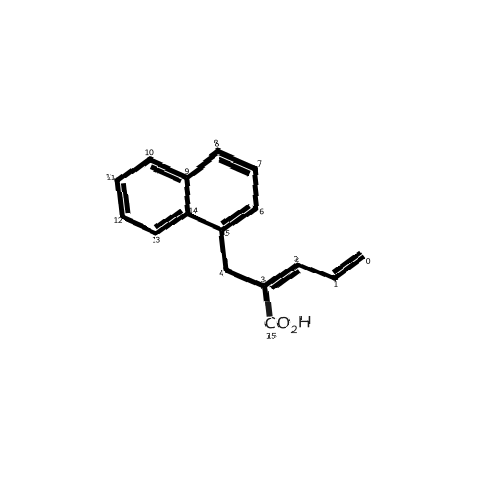 C=CC=C(Cc1cccc2ccccc12)C(=O)O